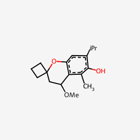 COC1CC2(CCC2)Oc2cc(C(C)C)c(O)c(C)c21